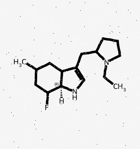 CCN1CCCC1CC1=CN[C@H]2C(F)CC(C)CC12